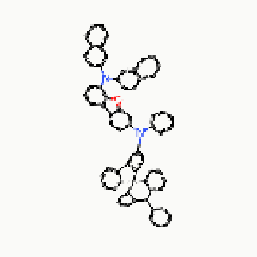 c1ccc(C2c3ccccc3C3(c4ccccc4-c4cc(N(c5ccccc5)c5ccc6c(c5)oc5c(N(c7ccc8ccccc8c7)c7ccc8ccccc8c7)cccc56)ccc43)c3ccccc32)cc1